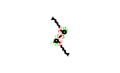 O=C(Oc1c(Cl)cc(Cl)c(Cl)c1C(=O)OCCCCCCC1CC1)C(=O)Oc1c(Cl)cc(Cl)c(Cl)c1C(=O)OCCCCCCC1CC1